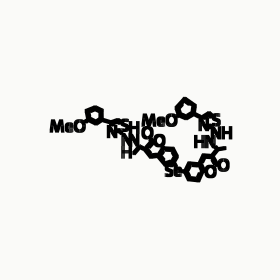 COc1cccc(-c2csc(NNC(C)c3cc4cc([Se]c5ccc6oc(=O)c(C(C)NNc7nc(-c8cccc(OC)c8)cs7)cc6c5)ccc4oc3=O)n2)c1